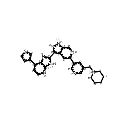 c1cc(-c2ccsc2)c2nc(-c3n[nH]c4cnc(-c5cncc(CN6CCCCC6)c5)cc34)[nH]c2n1